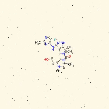 Cc1ncc(F)c(Nc2n[nH]c3c2CN(C(=O)N2CC(CCO)N(C)C[C@@H]2C)C3(C)C)n1